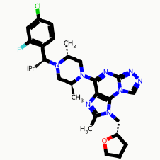 Cc1nc2c(N3C[C@@H](C)N([C@H](c4ccc(Cl)cc4F)C(C)C)C[C@@H]3C)nc3nncn3c2n1C[C@@H]1CCCO1